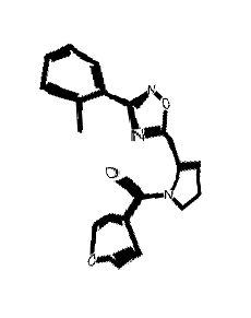 Cc1ccccc1-c1noc(C2CCCN2C(=O)c2ccoc2)n1